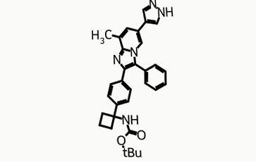 Cc1cc(-c2cn[nH]c2)cn2c(-c3ccccc3)c(-c3ccc(C4(NC(=O)OC(C)(C)C)CCC4)cc3)nc12